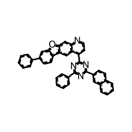 c1ccc(-c2ccc3c(c2)oc2cc4nccc(-c5nc(-c6ccccc6)nc(-c6ccc7ccccc7c6)n5)c4cc23)cc1